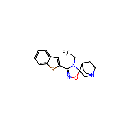 FC(F)(F)CN1C(c2cc3ccccc3s2)=NO[C@@]12CN1CCC2CC1